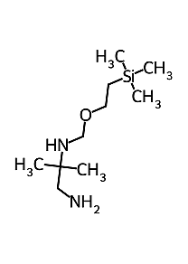 CC(C)(CN)NCOCC[Si](C)(C)C